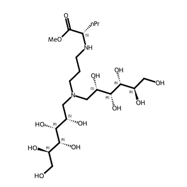 CCC[C@H](NCCCN(C[C@H](O)[C@@H](O)[C@H](O)[C@H](O)CO)C[C@H](O)[C@@H](O)[C@H](O)[C@H](O)CO)C(=O)OC